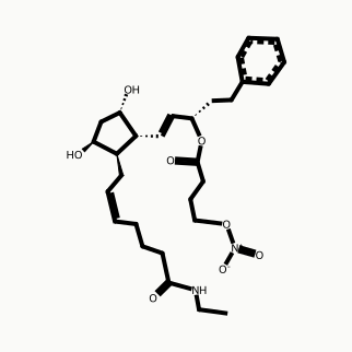 CCNC(=O)CCC/C=C\C[C@@H]1[C@@H](/C=C/[C@H](CCc2ccccc2)OC(=O)CCCO[N+](=O)[O-])[C@@H](O)C[C@@H]1O